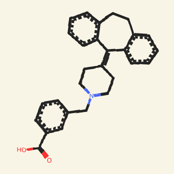 O=C(O)c1cccc(CN2CCC(=C3c4ccccc4CCc4ccccc43)CC2)c1